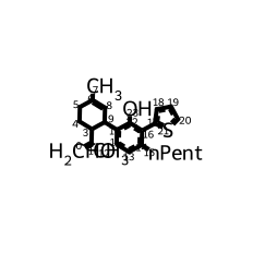 C=C(C)C1CCC(C)=CC1c1c(O)cc(CCCCC)c(-c2cccs2)c1O